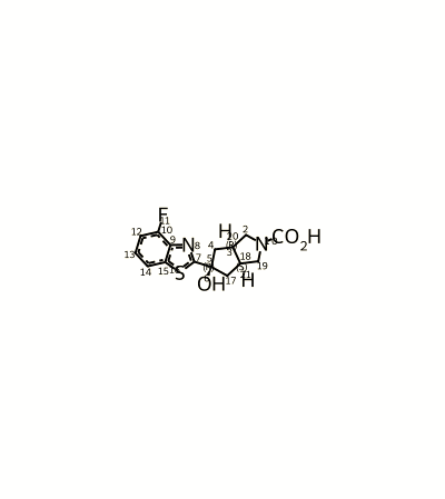 O=C(O)N1C[C@@H]2C[C@@](O)(c3nc4c(F)cccc4s3)C[C@@H]2C1